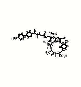 CCCCC[C@H](NC(=O)CCNC(=O)c1ccc(-c2ccc(CCC)cc2)cc1)C(=O)N(C)[C@@H]1C(=O)N[C@@H](C)C(=O)N[C@H](C(=O)O)Cc2ccc(O)c(c2)-c2cc1ccc2O